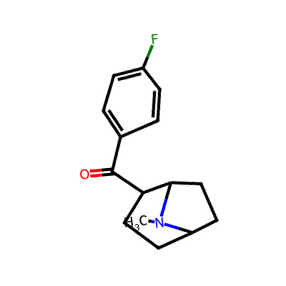 CN1C2CCC(C(=O)c3ccc(F)cc3)C1CC2